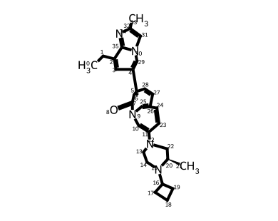 CCc1cc(C2=C\C(=O)N3C=C(N4CCN(C5CCC5)[C@H](C)C4)C=C\C3=C/C=C/2)cn2cc(C)nc12